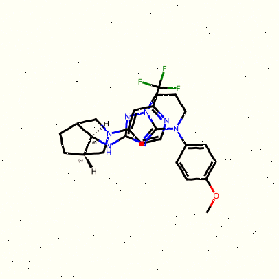 COc1ccc(N2CCCn3nc(N[C@@H]4C5CC[C@H]4CN(c4ccnc(C(F)(F)F)c4)C5)nc32)cc1